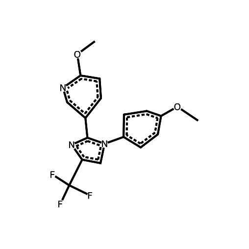 COc1ccc(-n2cc(C(F)(F)F)nc2-c2ccc(OC)nc2)cc1